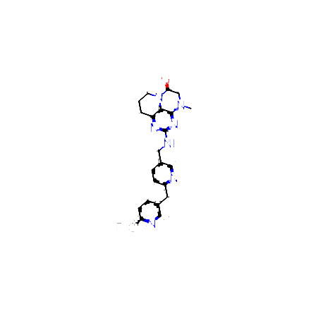 C[C@H]1C(=O)N2CCCc3nc(NCc4ccc(Cc5ccc(C(F)(F)F)nc5)nc4)nc(c32)N1C